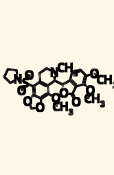 COc1ccc2c(c1OC)C(=O)O[C@@H]2[C@H]1c2c(c(S(=O)(=O)N3CCCC3)c3c(c2OC)OCO3)CCN1C